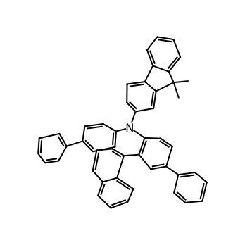 CC1(C)c2ccccc2-c2ccc(N(c3ccc(-c4ccccc4)cc3)c3ccc(-c4ccccc4)cc3-c3cccc4ccccc34)cc21